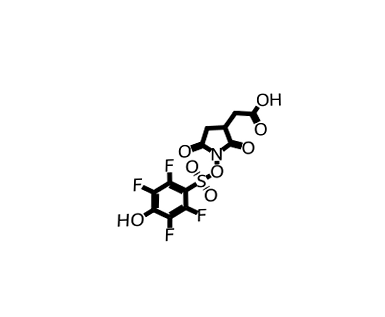 O=C(O)CC1CC(=O)N(OS(=O)(=O)c2c(F)c(F)c(O)c(F)c2F)C1=O